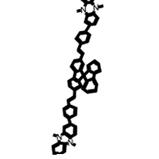 CN1c2ccccc2N(C)c2cc(-c3ccc(/C=C/c4ccc5c(c4)C4(c6ccccc6-c6ccccc64)c4cc(/C=C/c6ccc(-c7ccc8c(c7)N(C)c7ccccc7N8C)cc6)ccc4-5)cc3)ccc21